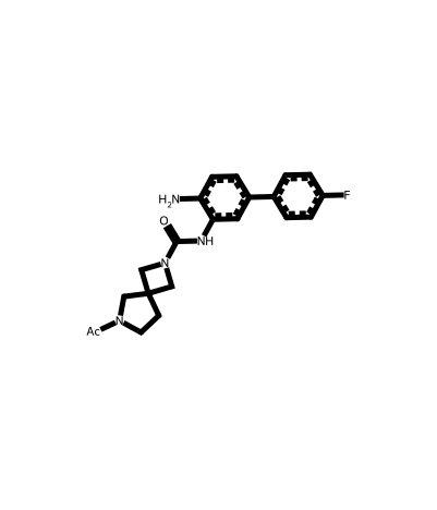 CC(=O)N1CCC2(C1)CN(C(=O)Nc1cc(-c3ccc(F)cc3)ccc1N)C2